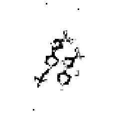 Cl.O=[N+]([O-])c1cnn(C2CCN(CCC(F)(F)F)CC2)c1.O=[N+]([O-])c1cnn(C2CCNCC2)c1